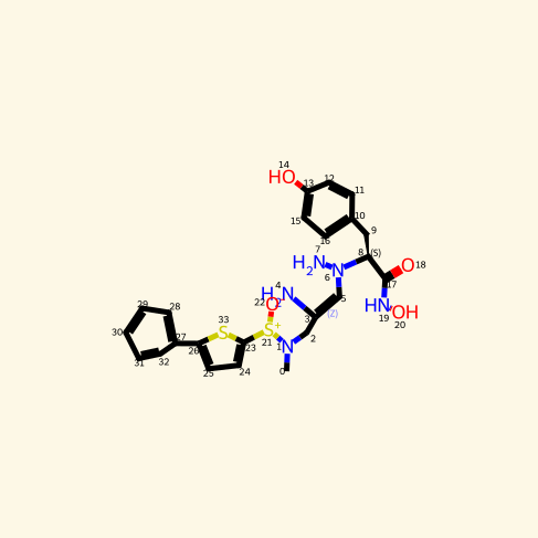 CN(C/C(N)=C/N(N)[C@@H](Cc1ccc(O)cc1)C(=O)NO)[S+]([O-])c1ccc(-c2ccccc2)s1